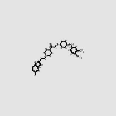 Cc1ccc2oc(CCN3CCN(C(=O)CO[C@H]4CC[C@H](Nc5ccc([N+](=O)[O-])c(C(F)(F)F)c5)CC4)CC3)cc2c1